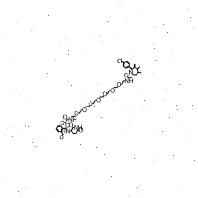 C=C1C(c2ccc(Cl)cc2)=N[C@@H](CC(=O)NCCOCCOCCOCCOCCOCCOCCOCCNC(=O)COc2cccc(C=O)c2C(=O)NC2CCC(=O)NC2=O)CC(C)=C1C